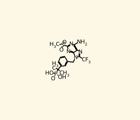 CC(C)(c1cccc(Cn2c(C(F)(F)F)nc3c(N)nc(S(C)(=O)=O)nc32)c1)P(=O)(O)O